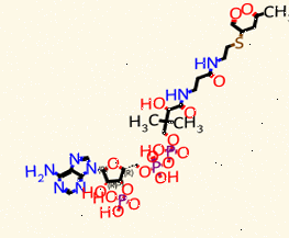 CC(=O)CC(C=O)SCCNC(=O)CCNC(=O)C(O)C(C)(C)COP(=O)(O)OP(=O)(O)OC[C@H]1O[C@@H](n2cnc3c(N)ncnc32)[C@H](O)[C@@H]1OP(=O)(O)O